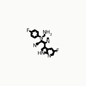 C=N/C(=C(/C#N)N(CN)c1ccc(F)cc1)c1c[nH]c2ncc(F)cc12